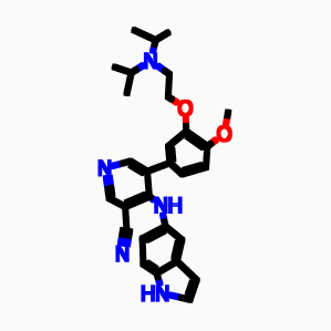 COc1ccc(-c2cncc(C#N)c2Nc2ccc3[nH]ccc3c2)cc1OCCN(C(C)C)C(C)C